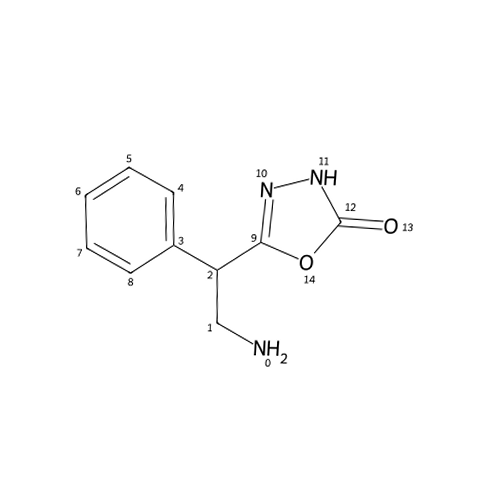 NCC(c1ccccc1)c1n[nH]c(=O)o1